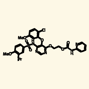 COc1ccc(Cl)c(Oc2c(NS(=O)(=O)c3ccc(OC)c(C(C)C)c3)ncnc2OCCOC(=O)Nc2ccccn2)c1